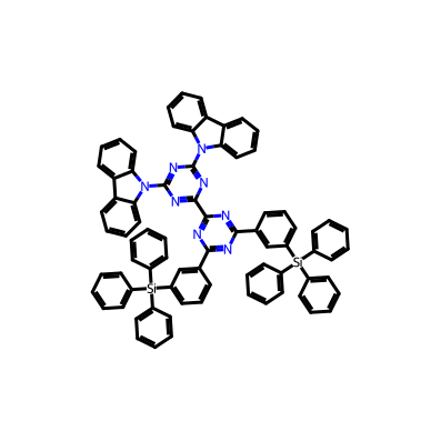 c1ccc([Si](c2ccccc2)(c2ccccc2)c2cccc(-c3nc(-c4cccc([Si](c5ccccc5)(c5ccccc5)c5ccccc5)c4)nc(-c4nc(-n5c6ccccc6c6ccccc65)nc(-n5c6ccccc6c6ccccc65)n4)n3)c2)cc1